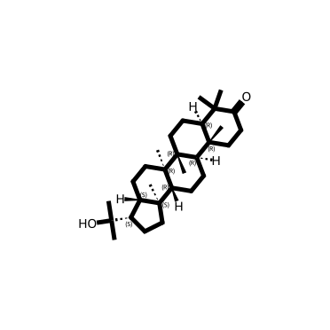 CC(C)(O)[C@H]1CC[C@]2(C)[C@H]3CC[C@@H]4[C@@]5(C)CCC(=O)C(C)(C)[C@@H]5CC[C@@]4(C)[C@]3(C)CC[C@@H]12